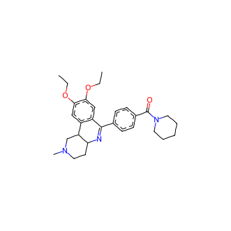 CCOc1cc2c(cc1OCC)C1CN(C)CCC1N=C2c1ccc(C(=O)N2CCCCC2)cc1